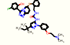 CCC(C)(C)c1cc(NC(=O)NCc2ccccc2Sc2ccc3nnc(-c4cc(F)ccc4O)n3c2)n(-c2cccc(OCCN(C)C)c2)n1